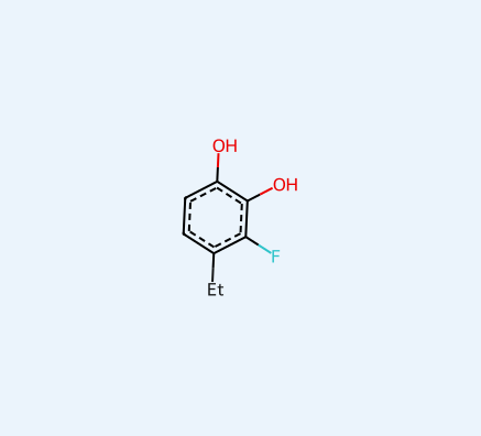 CCc1ccc(O)c(O)c1F